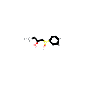 O=C(O)CC(O)C[S+]([O-])c1ccccc1